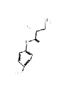 Cc1ccc(NC(=O)[C@H](N)CN)cc1